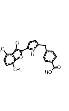 Cc1ccc(C)c2c(Cl)c(-c3ccc(Cc4ccc(C(=O)O)cc4)[nH]3)oc12